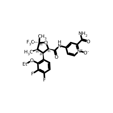 CCOc1c([C@H]2[C@@H](C)[C@](C)(C(F)(F)F)O[C@H]2C(=O)Nc2cc[n+]([O-])c(C(N)=O)c2)ccc(F)c1F